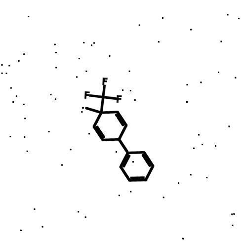 [CH2]C1(C(F)(F)F)C=CC(c2ccccc2)C=C1